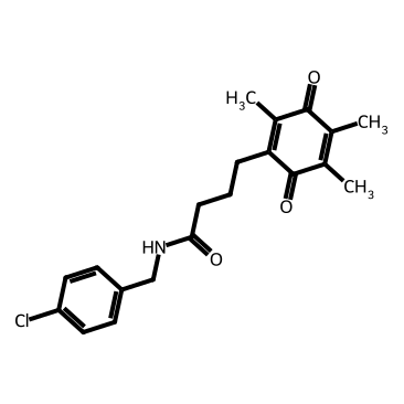 CC1=C(C)C(=O)C(CCCC(=O)NCc2ccc(Cl)cc2)=C(C)C1=O